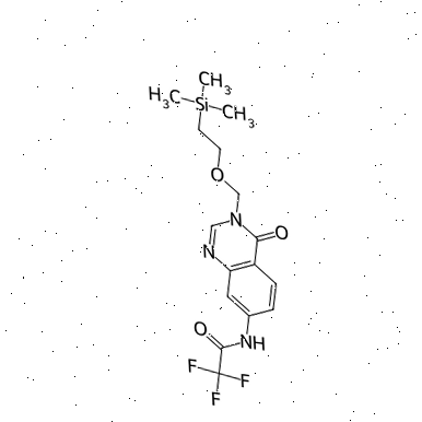 C[Si](C)(C)CCOCn1cnc2cc(NC(=O)C(F)(F)F)ccc2c1=O